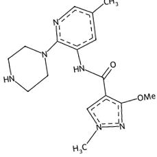 COc1nn(C)cc1C(=O)Nc1cc(C)cnc1N1CCNCC1